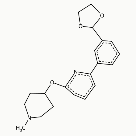 CN1CCC(Oc2cccc(-c3cccc(C4OCCO4)c3)n2)CC1